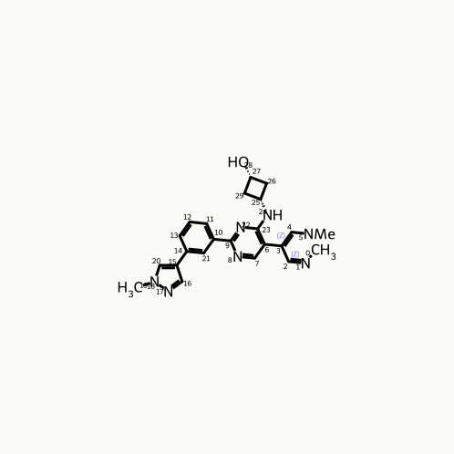 C/N=C\C(=C/NC)c1cnc(-c2cccc(-c3cnn(C)c3)c2)nc1N[C@H]1C[C@@H](O)C1